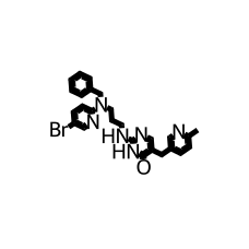 Cc1ccc(Cc2cnc(NCCCN(Cc3ccccc3)c3ccc(Br)cn3)[nH]c2=O)cn1